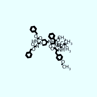 CCOc1ccc(CC(NC(=O)OC(C)(C)C)C(=O)N[C@@H](C(=O)NC2CCN(C(=NC(=O)OCc3ccccc3)NC(=O)OCc3ccccc3)CC2)C(OC)c2ccccc2)cc1